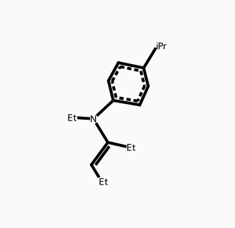 CC/C=C(\CC)N(CC)c1ccc(C(C)C)cc1